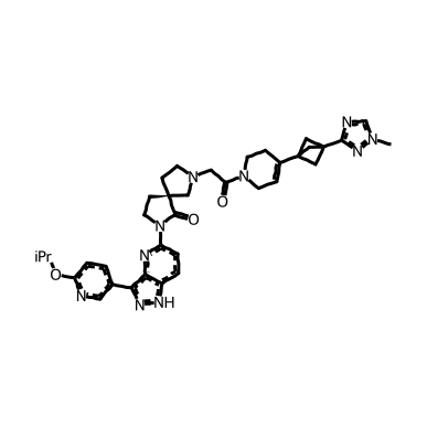 CC(C)Oc1ccc(-c2n[nH]c3ccc(N4CC[C@]5(CCN(CC(=O)N6CC=C(C78CC(c9ncn(C)n9)(C7)C8)CC6)C5)C4=O)nc23)cn1